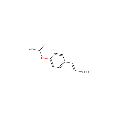 CC(C)C(C)Oc1ccc(C=CC=O)cc1